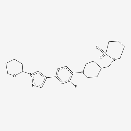 O=S1(=O)CCCCN1CC1CCN(c2ccc(-c3cnn(C4CCCCO4)c3)cc2F)CC1